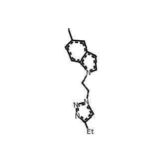 CCc1cn(CCn2ccc3cc(C)ccc32)nn1